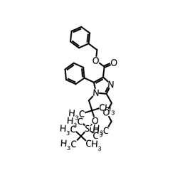 CCOCc1nc(C(=O)OCc2ccccc2)c(-c2ccccc2)n1CC(C)(C)O[Si](C)(C)C(C)(C)C